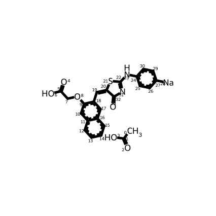 CC(=O)O.O=C(O)COc1cc2ccccc2cc1C=C1SC(Nc2cc[c]([Na])cc2)=NC1=O